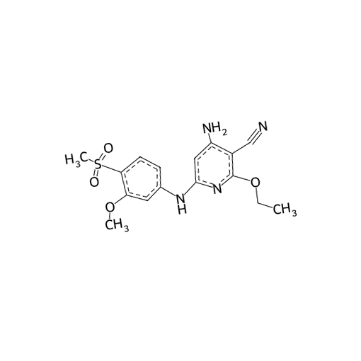 CCOc1nc(Nc2ccc(S(C)(=O)=O)c(OC)c2)cc(N)c1C#N